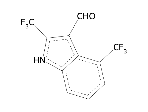 O=Cc1c(C(F)(F)F)[nH]c2cccc(C(F)(F)F)c12